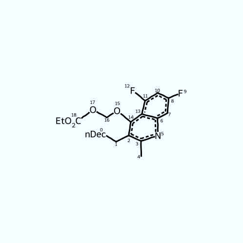 CCCCCCCCCCCc1c(C)nc2cc(F)cc(F)c2c1OCOC(=O)OCC